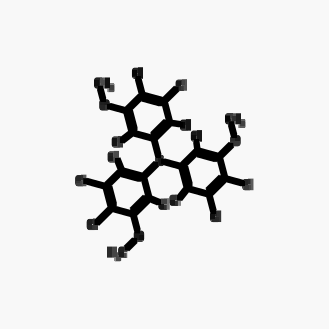 COc1c(Cl)c(Cl)c(Cl)c(B(c2c(Cl)c(Cl)c(Cl)c(OC)c2Cl)c2c(Cl)c(Cl)c(Cl)c(OC)c2Cl)c1Cl